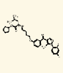 CC(C)C[C@H](NCCCCOc1cccc(C(=O)c2cnn(-c3ccc(F)cc3F)c2N)c1)C(=O)OC1CCCC1